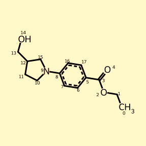 CCOC(=O)c1ccc(N2CCC(CO)C2)cc1